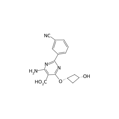 N#Cc1cccc(-c2nc(N)c(C(=O)O)c(O[C@H]3C[C@@H](O)C3)n2)c1